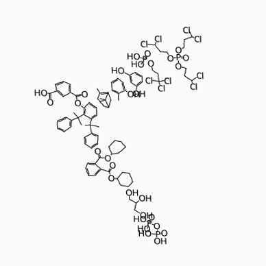 CC(C)(c1ccccc1)c1cccc(OC(=O)c2cccc(C(=O)O)c2)c1C(C)(C)c1ccccc1.CC1=C2CC(CC1)C2(C)C.Cc1ccccc1O.O=C(OC1CCCCC1)c1ccccc1C(=O)OC1CCCCC1.O=P(O)(O)OCCC(Cl)(Cl)Cl.O=P(O)(O)OP(=O)(O)O.O=P(OCCC(Cl)Cl)(OCCC(Cl)Cl)OCCC(Cl)Cl.OCC(O)CO.Oc1cccc(O)c1